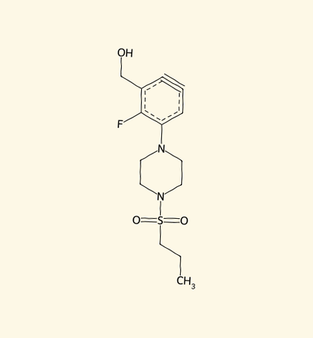 CCCS(=O)(=O)N1CCN(c2cc#cc(CO)c2F)CC1